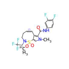 C[C@@H](N1CC/C=C\c2c(cn(C)c2C(=O)Nc2ccc(F)c(F)c2)S1(=O)=O)C(F)(F)F